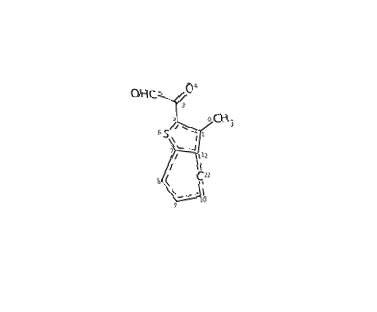 Cc1c(C(=O)C=O)sc2ccccc12